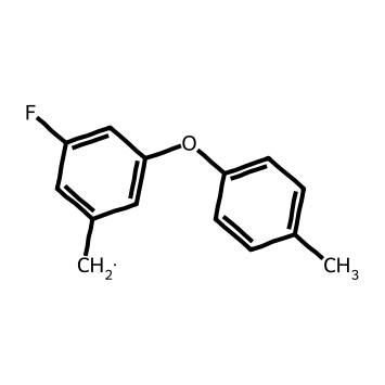 [CH2]c1cc(F)cc(Oc2ccc(C)cc2)c1